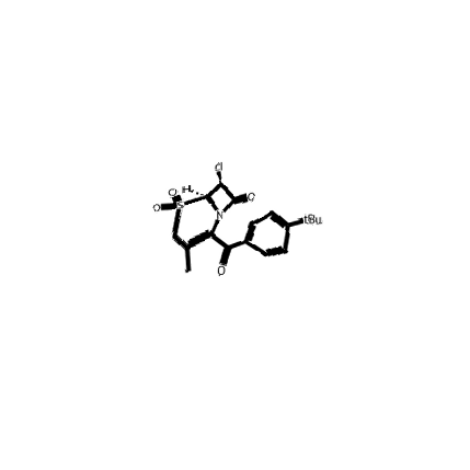 CC1=C(C(=O)c2ccc(C(C)(C)C)cc2)N2C(=O)[C@H](Cl)[C@@H]2S(=O)(=O)C1